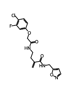 C=C(CCNC(=O)COc1ccc(Cl)c(F)c1)C(=O)NCc1ccno1